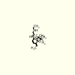 C=C(/C=C\C(=C/C)B1OC(C)(C)C(C)(C)O1)NCCNCC